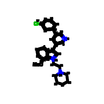 COc1cccc2c(-c3cncc(-c4cccc(Cl)c4)c3)cn(CCN3CCCCC3)c12